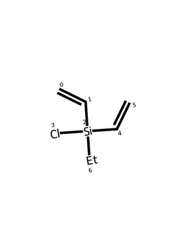 C=C[Si](Cl)(C=C)CC